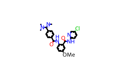 C/N=C(\c1ccc(C(=O)Nc2ccc(OC)cc2C(=O)Nc2ccc(Cl)cn2)cc1)N(C)C